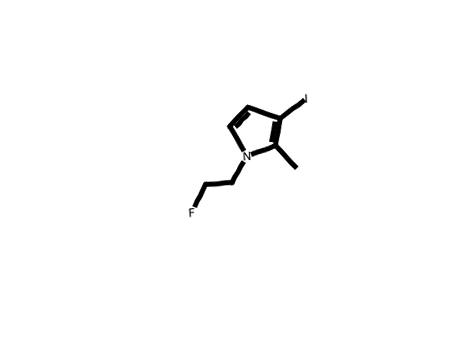 Cc1c(I)ccn1CCF